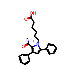 NC(=O)c1c(-c2ccccc2)cc(-c2ccccc2)n1CCCCCC(=O)O